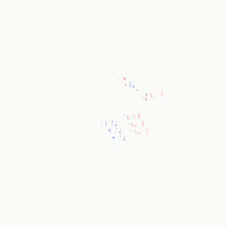 CCCCCCCCCCCCCC(=O)N(C)CCC(=O)O.NCCO.NCCO.NCCO